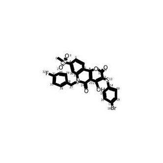 CS(=O)(=O)c1ccc2c3oc(=O)c(Sc4ccc(Br)cc4)c(O)c3c(=O)n(Cc3ccc(F)cc3)c2c1